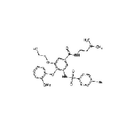 COc1ccccc1Oc1c(NS(=O)(=O)c2ccc(C(C)(C)C)cc2)cc(C(=O)NCCN(C)C)cc1OCCO